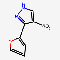 O=[N+]([O-])c1c[nH]nc1-c1ccco1